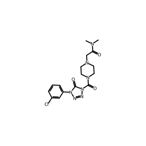 CN(C)C(=O)CN1CCN(C(=O)n2nnn(-c3cccc(Cl)c3)c2=O)CC1